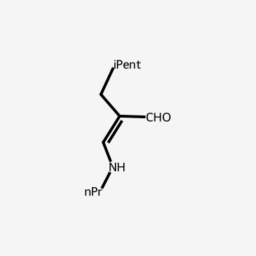 CCCN/C=C(\C=O)CC(C)CCC